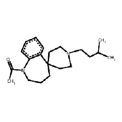 CC(=O)N1CCCC2(CCN(CCC(C)C)CC2)c2ccccc21